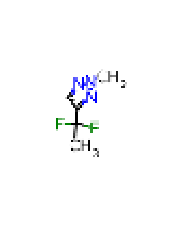 Cn1ncc(C(C)(F)F)n1